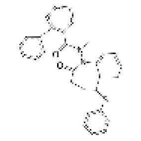 CN(C(=O)c1ccccc1-c1ccccc1)N1C(=O)CCC(Sc2ccccc2)C2CC=CC=C21